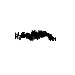 C=C(C)c1ccc2c(-c3cnn4cc(-c5ccc(OCCN6CCNCC6)cn5)cnc34)cccc2n1